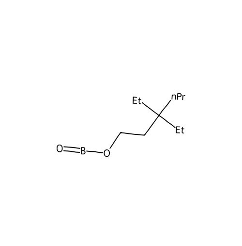 [CH2]CC(C[CH2])(CCC)CCOB=O